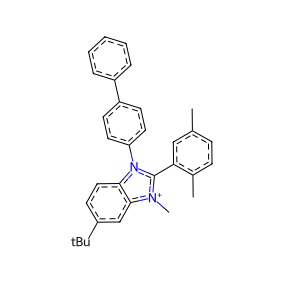 Cc1ccc(C)c(-c2n(-c3ccc(-c4ccccc4)cc3)c3ccc(C(C)(C)C)cc3[n+]2C)c1